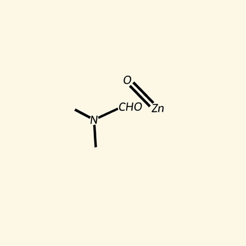 CN(C)C=O.[O]=[Zn]